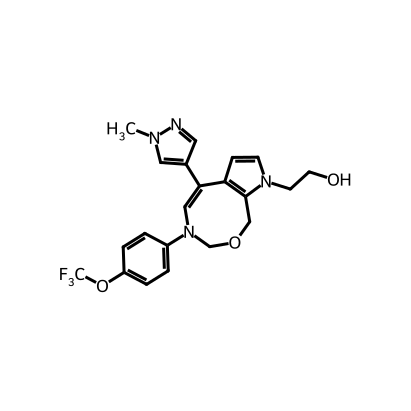 Cn1cc(/C2=C/N(c3ccc(OC(F)(F)F)cc3)COCc3c2ccn3CCO)cn1